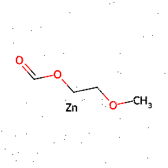 COCCOC=O.[Zn]